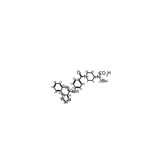 CC(C)(C)N(C(=O)O)C1CCN(C(=O)c2ccc(Nc3nc4ccccc4n4nnnc34)cc2)CC1